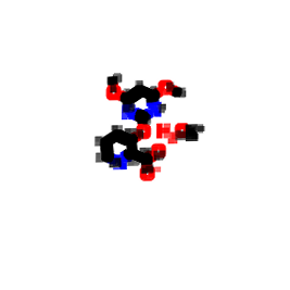 COc1cc(OC)nc(Oc2cccnc2C(=O)[O-])n1.O.[K+]